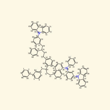 c1ccc(-c2cccc(CC3CCc4cccc5c(N(c6ccccc6)c6cccc(-n7c8ccccc8c8ccccc87)c6)ccc(c45)-c4ccc(CCC(Cc5cccc(-n6c7ccccc7c7ccccc76)c5)c5ccccc5)cc43)c2)cc1